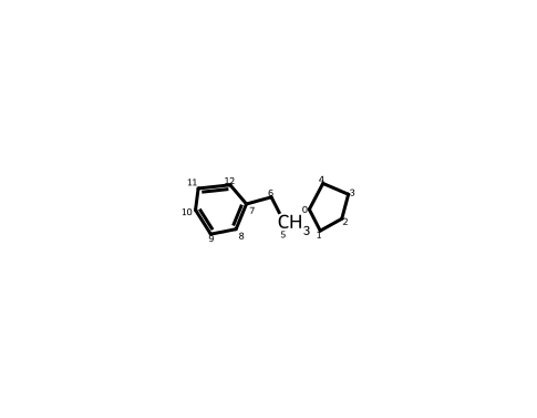 C1CCCC1.CCc1ccccc1